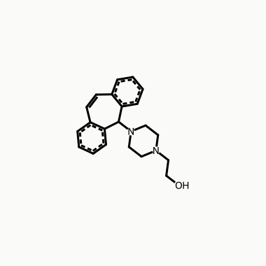 OCCN1CCN(C2c3ccccc3C=Cc3ccccc32)CC1